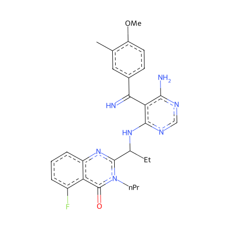 CCCn1c(C(CC)Nc2ncnc(N)c2C(=N)c2ccc(OC)c(C)c2)nc2cccc(F)c2c1=O